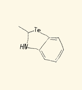 CC1Nc2ccccc2[Te]1